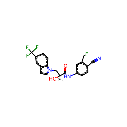 C[C@](O)(Cn1ccc2cc(C(F)(F)F)ccc21)C(=O)Nc1ccc(C#N)c(CF)c1